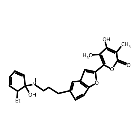 CCC1C=CC=CC1(O)NCCCc1ccc2oc(-c3oc(=O)c(C)c(O)c3C)cc2c1